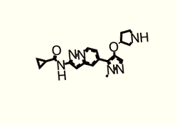 Cn1ncc(O[C@@H]2CCNC2)c1-c1ccn2nc(NC(=O)C3CC3)cc2c1